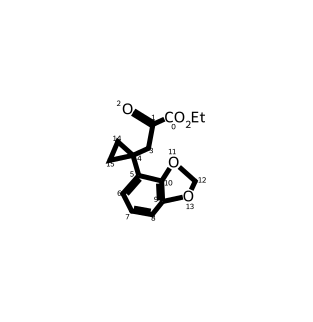 CCOC(=O)C(=O)CC1(c2cccc3c2OCO3)CC1